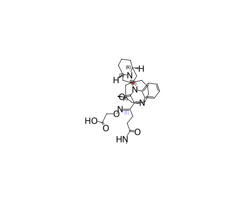 CNC(=O)CC/C(=N\OCC(=O)O)c1nc2ccccc2n([C@H]2C[C@H]3CCC[C@@H](C2)N3[C@@H]2CCCCCC[C@@H](C)C2)c1=O